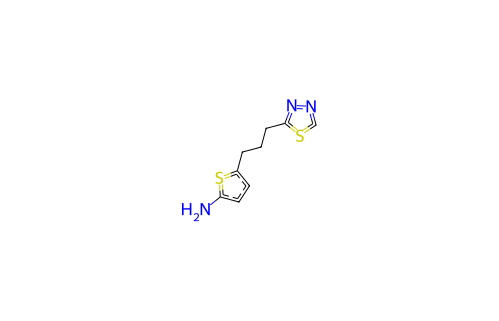 Nc1ccc(CCCc2nncs2)s1